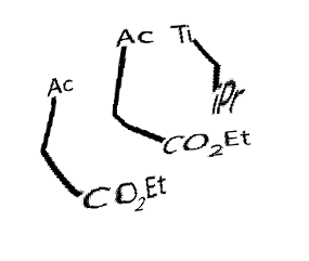 CCOC(=O)CC(C)=O.CCOC(=O)CC(C)=O.C[CH](C)[Ti]